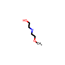 COCC[N]CCO